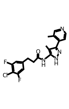 Cc1cnccc1-c1n[nH]c(NC(=O)CCc2cc(F)c(Cl)c(F)c2)c1C